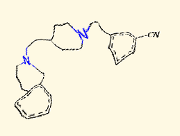 N#Cc1cccc(CN2CCC(CN3CCc4ccccc4C3)CC2)c1